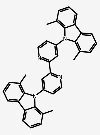 Cc1cccc2c3cccc(C)c3n(-c3ccnc(-c4cc(-n5c6c(C)cccc6c6cccc(C)c65)ccn4)c3)c12